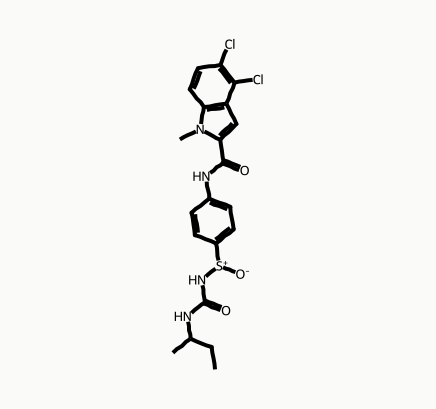 CCC(C)NC(=O)N[S+]([O-])c1ccc(NC(=O)c2cc3c(Cl)c(Cl)ccc3n2C)cc1